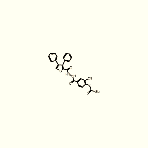 CC(C)(C)C(=O)Oc1ccc(C(=O)NNC(=O)c2occ(-c3ccccc3)c2-c2ccccc2)cc1C#N